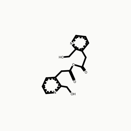 O=C(Cc1cccnc1CO)OC(=O)Cc1cccnc1CO